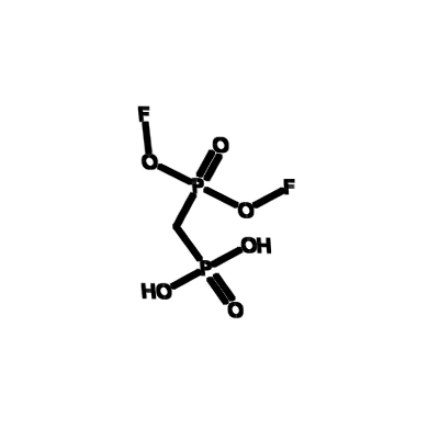 O=P(O)(O)CP(=O)(OF)OF